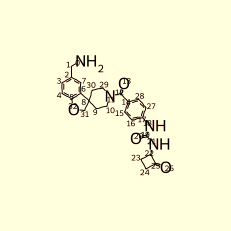 NCc1ccc2c(c1)C1(CCN(C(=O)c3ccc(NC(=O)NC4CCC4=O)cc3)CC1)CO2